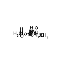 CNC(=O)c1ccc(-c2cc(NC(O)N[C@@H]3C[C@@H](CCOC)C[C@H]3c3ccccc3)n(C)n2)cc1